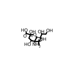 CC(=O)[C@@]1(N)[C@@H](O)C[C@](O)(C(=O)O)O[C@H]1C(O)C(O)CO